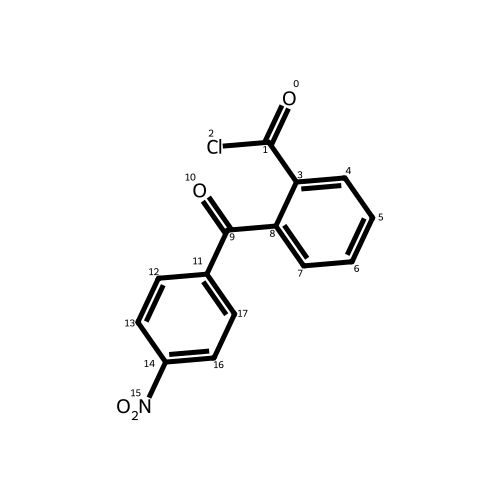 O=C(Cl)c1ccccc1C(=O)c1ccc([N+](=O)[O-])cc1